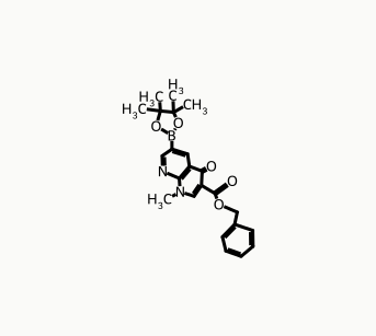 Cn1cc(C(=O)OCc2ccccc2)c(=O)c2cc(B3OC(C)(C)C(C)(C)O3)cnc21